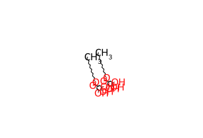 CCCCCCCCCCCCOC(=O)c1cc(O)c(O)c(O)c1.CCCCCCCCCCCCOC(=O)c1cc(O)c(O)c(O)c1